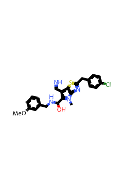 COc1cccc(CNC(O)c2c(C=N)c3sc(Cc4ccc(Cl)cc4)nc3n2C)c1